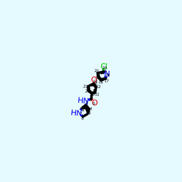 O=C(NC1CC2CNC1C2)c1ccc(Oc2ccnc(Cl)c2)cc1